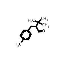 Cc1ccc(CC(C=O)C(C)(C)C)cc1